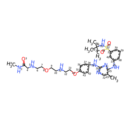 CNC(=O)CNCCOCCNCCOc1ccc(Nc2ncc(C)c(Nc3cccc(S(=O)(=O)NC(C)(C)C)c3)n2)cc1